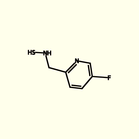 Fc1ccc(CNS)nc1